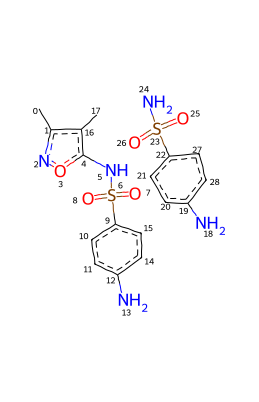 Cc1noc(NS(=O)(=O)c2ccc(N)cc2)c1C.Nc1ccc(S(N)(=O)=O)cc1